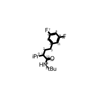 CC(C)C(CCc1cc(F)cc(F)c1)C(=O)NC(C)(C)C